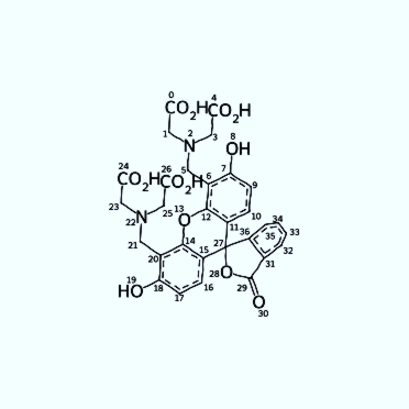 O=C(O)CN(CC(=O)O)Cc1c(O)ccc2c1Oc1c(ccc(O)c1CN(CC(=O)O)CC(=O)O)C21OC(=O)c2ccccc21